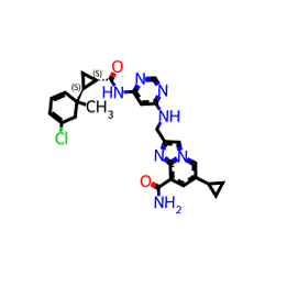 CC1([C@H]2C[C@@H]2C(=O)Nc2cc(NCc3cn4cc(C5CC5)cc(C(N)=O)c4n3)ncn2)C=CC=C(Cl)C1